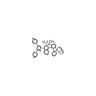 CC1(C)c2ccc3c(c2-c2c1cc(-c1cc(-c4ccncc4)cc(-c4ccncc4)n1)c1ccccc21)-c1ccccc1C31C2CC3CC(C2)CC1C3